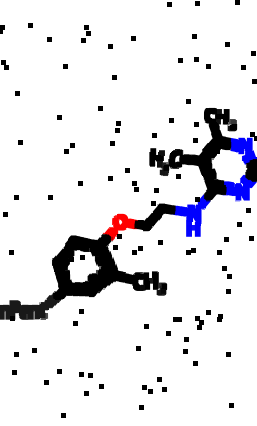 CCCCCc1ccc(OCCNc2ncnc(C)c2C)c(C)c1